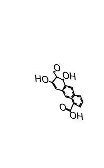 O=CC1C(O)=Cc2cc3c(C(=O)O)cccc3cc2C1O